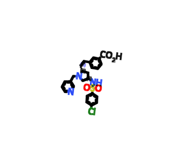 O=C(O)c1cccc(/C=C\[C@@H]2C[C@@H](NS(=O)(=O)c3ccc(Cl)cc3)CN2Cc2cccnc2)c1